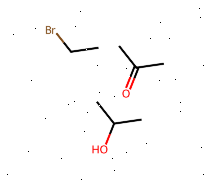 CC(C)=O.CC(C)O.CCBr